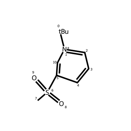 CC(C)(C)[n+]1cccc(S(C)(=O)=O)c1